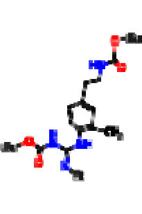 CC/N=C(/NC(=O)OC(C)(C)C)Nc1ccc(CCNC(=O)OC(C)(C)C)cc1C